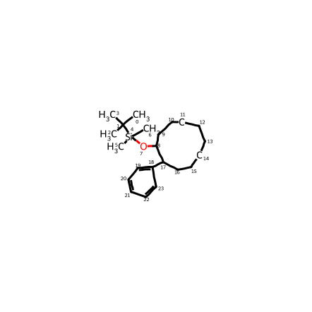 CC(C)(C)[Si](C)(C)OC1CCCCCCCCC1c1ccccc1